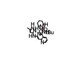 Cc1cc(Nc2cc3ncccc3c(N[C@@H]3C[C@H]4CCC[C@@H](C3)N4C(=O)OC(C)(C)C)n2)n[nH]1